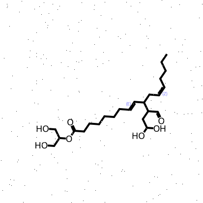 CCCC/C=C\CC(/C=C/CCCCCCC(=O)OC(CO)CO)C(C=O)CC(O)O